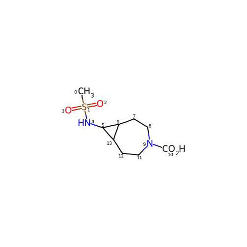 CS(=O)(=O)NC1C2CCN(C(=O)O)CCC21